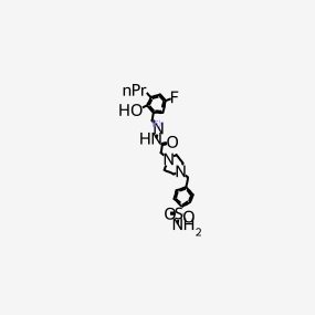 CCCc1cc(F)cc(/C=N/NC(=O)CN2CCN(Cc3ccc(S(N)(=O)=O)cc3)CC2)c1O